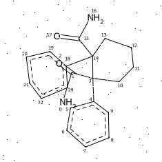 NC(=O)C1(c2ccccc2)CCCCC1(C(N)=O)c1ccccc1